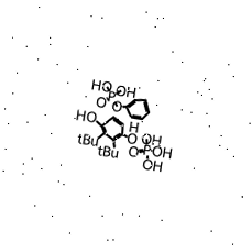 CC(C)(C)c1c(O)ccc(O)c1C(C)(C)C.O=P(O)(O)O.O=P(O)(O)Oc1ccccc1